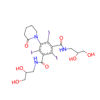 O=C(NCC(O)CO)c1c(I)c(C(=O)NCC(O)CO)c(I)c(N2CCCCC2=O)c1I